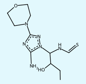 CCC(O)C(NC=S)n1nc(N2CCOCC2)nc1N